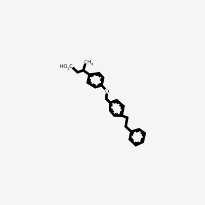 CC(CC(=O)O)c1ccc(OCc2ccc(CCc3ccccc3)cc2)cc1